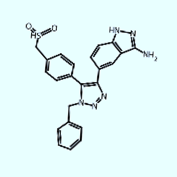 Nc1n[nH]c2ccc(-c3nnn(Cc4ccccc4)c3-c3ccc(C[SH](=O)=O)cc3)cc12